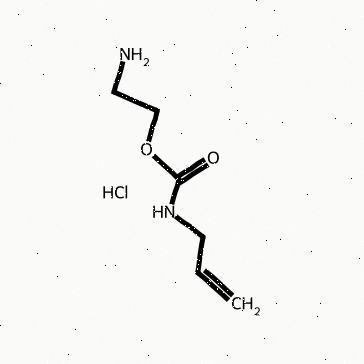 C=CCNC(=O)OCCN.Cl